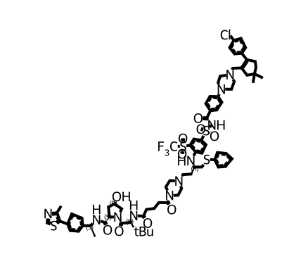 Cc1ncsc1-c1ccc([C@H](C)NC(=O)[C@@H]2C[C@@H](O)CN2C(=O)[C@@H](NC(=O)CCCC(=O)N2CCN(CC[C@H](CSc3ccccc3)Nc3ccc(S(=O)(=O)NC(=O)c4ccc(N5CCN(CC6=C(c7ccc(Cl)cc7)CCC(C)(C)C6)CC5)cc4)cc3S(=O)(=O)C(F)(F)F)CC2)C(C)(C)C)cc1